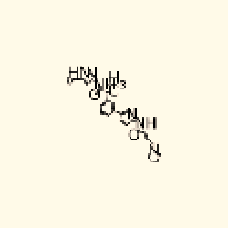 C[C@H](C(=O)Nc1cc(C2CC2)[nH]n1)c1cccc(-c2ccc(NC(=O)/C=C/CN3CCCC3)nc2)c1